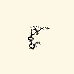 COC(=O)C(CCSC)NC(=O)c1ccc(-c2ccccc2N)o1